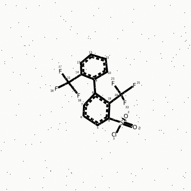 O=S(=O)(Cl)c1cccc(-c2ccccc2C(F)(F)F)c1C(F)(F)F